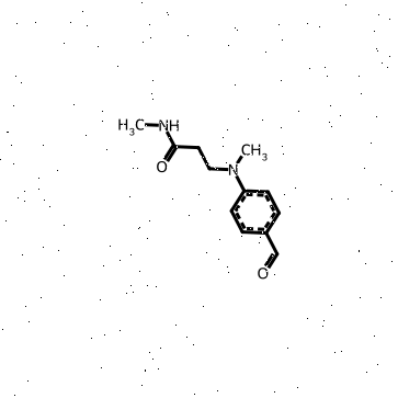 CNC(=O)CCN(C)c1ccc(C=O)cc1